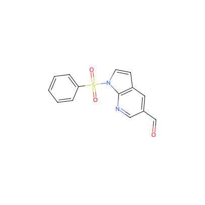 O=Cc1cnc2c(ccn2S(=O)(=O)c2ccccc2)c1